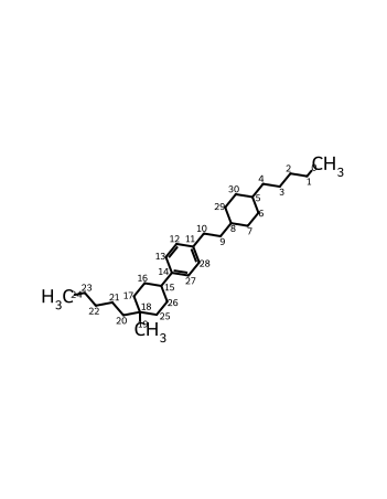 CCCCCC1CCC(CCc2ccc(C3CCC(C)(CCCCC)CC3)cc2)CC1